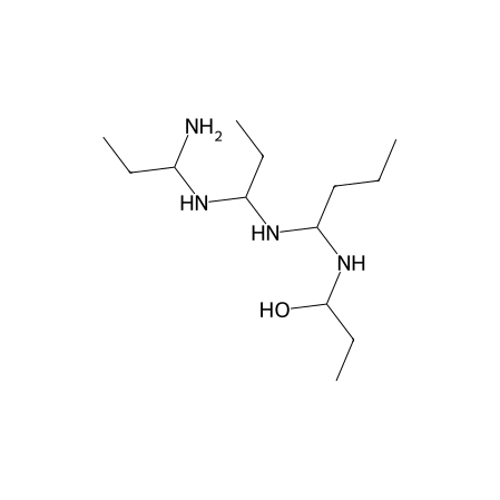 CCCC(NC(O)CC)NC(CC)NC(N)CC